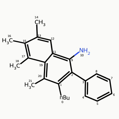 CCCCc1c(-c2ccccc2)c(N)c2cc(C)c(C)c(C)c2c1C